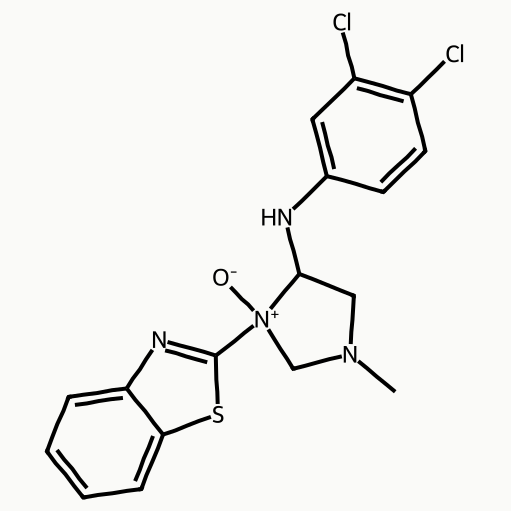 CN1CC(Nc2ccc(Cl)c(Cl)c2)[N+]([O-])(c2nc3ccccc3s2)C1